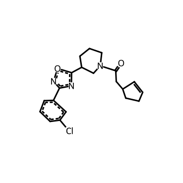 O=C(CC1C=CCC1)N1CCCC(c2nc(-c3cccc(Cl)c3)no2)C1